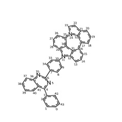 c1ccc(-c2nc(-c3ccc(-n4c5cccc6c7cccc8ccn(c9cccc4c9c65)c87)cc3)nc3ccccc23)cc1